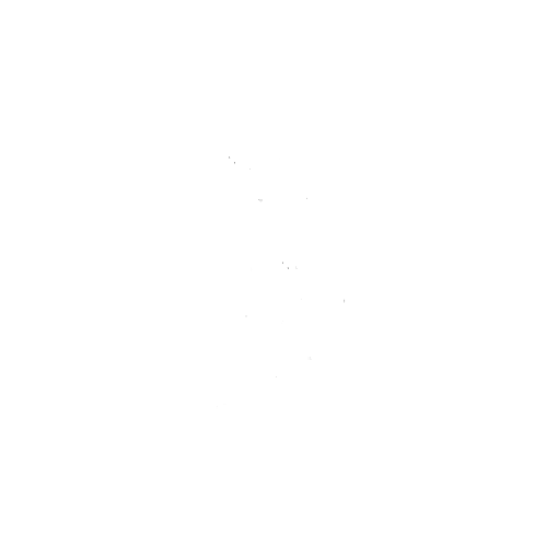 NCC1(F)CCN(C(=O)c2ccc(F)cc2)CC1